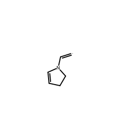 [CH]=CN1C=CCC1